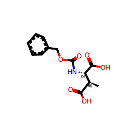 C[C@@H](C(=O)O)[C@H](NC(=O)OCc1ccccc1)C(=O)O